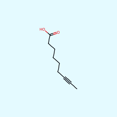 CC#CCCCCCC(=O)O